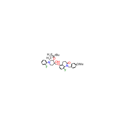 COc1ccc(CN2C(=O)CCc3c(OC[C@]4(O)CCN(c5ccccc5F)C[C@H]4O[Si](C)(C)C(C)(C)C)ccc(F)c32)cc1